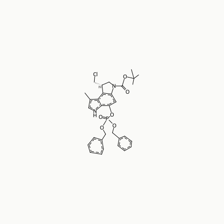 Cc1c[nH]c2c(OP(=O)(OCc3ccccc3)OCc3ccccc3)cc3c(c12)[C@H](CCl)CN3C(=O)OC(C)(C)C